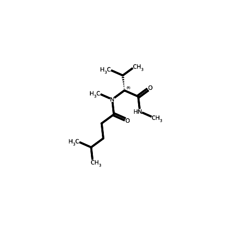 CNC(=O)[C@@H](C(C)C)N(C)C(=O)CCC(C)C